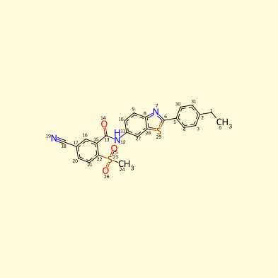 CCc1ccc(-c2nc3ccc(NC(=O)c4cc(C#N)ccc4S(C)(=O)=O)cc3s2)cc1